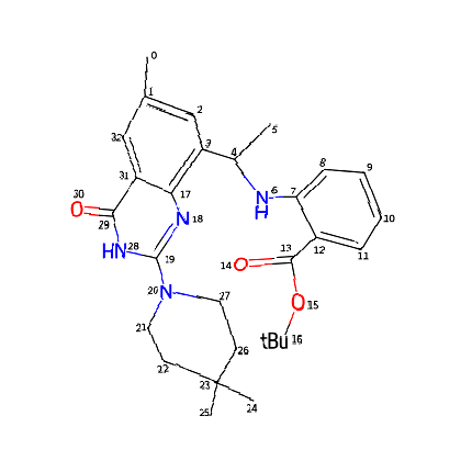 Cc1cc(C(C)Nc2ccccc2C(=O)OC(C)(C)C)c2nc(N3CCC(C)(C)CC3)[nH]c(=O)c2c1